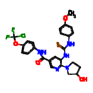 COc1ccc(NC(=S)Nc2cc(C(=O)Nc3ccc(OC(F)(F)Cl)cc3)cnc2N2CCC(O)C2)cc1